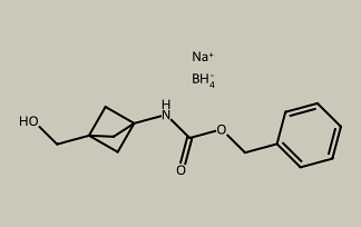 O=C(NC12CC(CO)(C1)C2)OCc1ccccc1.[BH4-].[Na+]